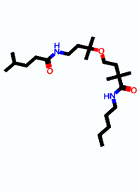 CCCCCNC(=O)C(C)(C)CCOC(C)(C)CCNC(=O)CCC(C)C